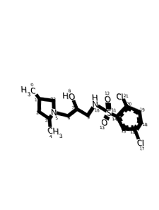 CC1CC(C)N(CC(O)CNS(=O)(=O)c2cc(Cl)ccc2Cl)C1